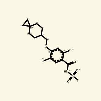 CS(=O)(=O)NC(=O)c1cc(Cl)c(OCC2CCC3(CC2)CC3)cc1F